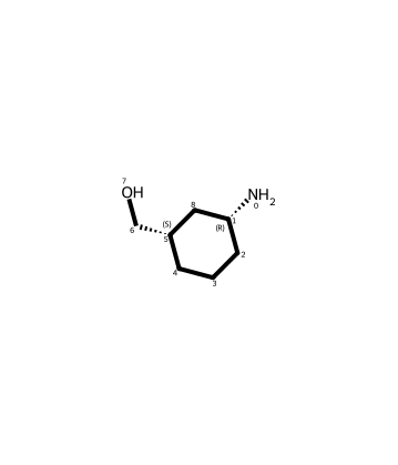 N[C@@H]1CCC[C@H](CO)C1